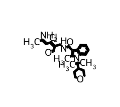 C/C(N)=C/C(Cl)=C(\C=O)CNC(=O)c1c(C)n(C(C)(C)C2CCOCC2)c2ccccc12